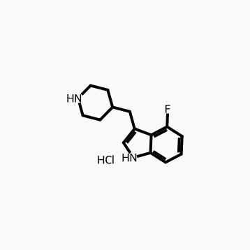 Cl.Fc1cccc2[nH]cc(CC3CCNCC3)c12